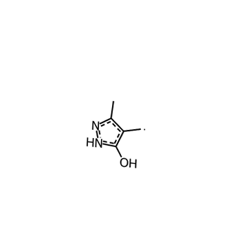 [CH2]c1c(C)n[nH]c1O